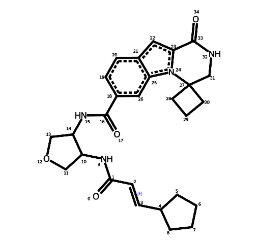 O=C(/C=C/C1CCCC1)NC1COCC1NC(=O)c1ccc2cc3n(c2c1)C1(CCC1)CNC3=O